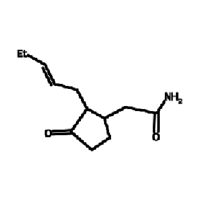 CC/C=C/CC1C(=O)CCC1CC(N)=O